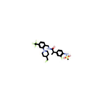 CC(C(=O)NCc1ccc(C(F)(F)F)cc1N1CCC(CF)CC1)c1ccc(NS(C)(=O)=O)c(F)c1